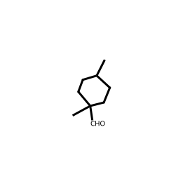 CC1CCC(C)(C=O)CC1